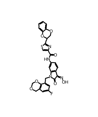 O=C(Nc1ccc2c(c1)N(Cc1cc(F)cc3c1OCOC3)C(=O)/C2=N\O)c1csc(C2COc3ccccc3O2)n1